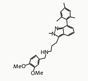 COc1ccc(CNCCCc2c3cccc(-c4c(C)cc(C)cc4C)c3nn2C)cc1OC